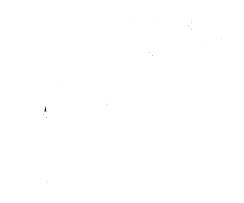 O=C1CCC(N2Cc3c(ccc(C[C@H]4CCCC[C@@H]4NCC4COC4)c3F)C2=O)C(=O)N1